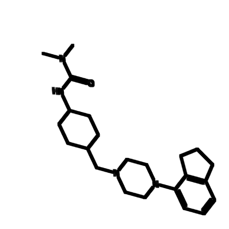 CN(C)C(=O)NC1CCC(CN2CCN(c3cccc4c3CCC4)CC2)CC1